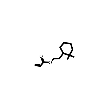 C=CC(=O)OCCC1CCCCC1(C)C